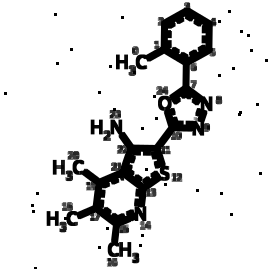 Cc1ccccc1-c1nnc(-c2sc3nc(C)c(C)c(C)c3c2N)o1